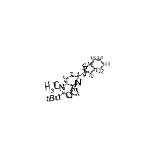 CN(C(=O)C(C)(C)C)c1ccc(-c2cc3ccccc3s2)nc1Cl